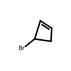 Br[C]1C=CC1